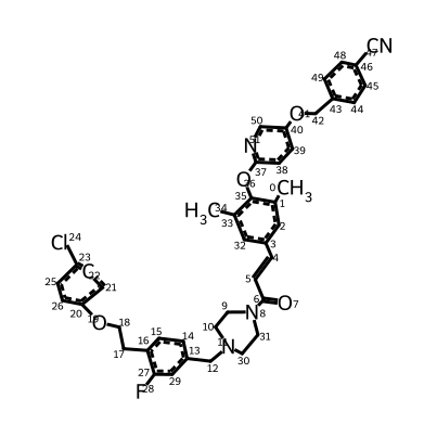 Cc1cc(/C=C/C(=O)N2CCN(Cc3ccc(CCOc4ccc(Cl)cc4)c(F)c3)CC2)cc(C)c1Oc1ccc(OCc2ccc(C#N)cc2)cn1